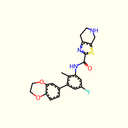 Cc1c(NC(=O)c2nc3c(s2)CNCC3)cc(F)cc1-c1ccc2c(c1)OCCO2